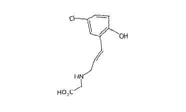 O=C(O)CNCC=Cc1cc(Cl)ccc1O